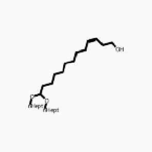 CCCCCCCOC(CCCCCCCC/C=C\CCO)OCCCCCCC